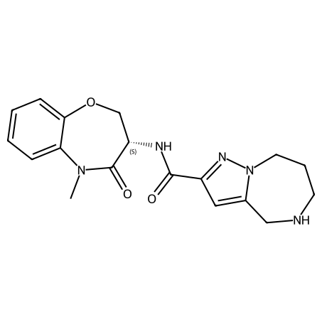 CN1C(=O)[C@@H](NC(=O)c2cc3n(n2)CCCNC3)COc2ccccc21